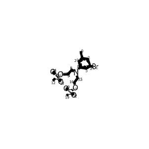 Cc1cc(Br)cc(N(CCOS(C)(=O)=O)CCOS(C)(=O)=O)c1